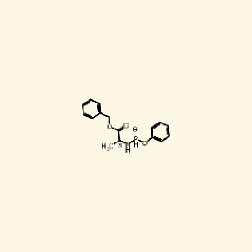 C[C@H](N[PH](=O)Oc1ccccc1)C(=O)OCc1ccccc1